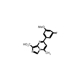 COc1cc(F)cc(-c2cc(C)n3cnc(C(=O)O)c3n2)c1